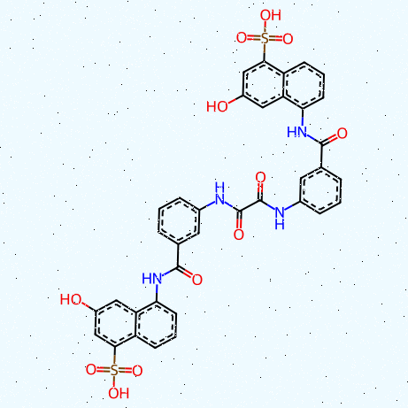 O=C(Nc1cccc(C(=O)Nc2cccc3c(S(=O)(=O)O)cc(O)cc23)c1)C(=O)Nc1cccc(C(=O)Nc2cccc3c(S(=O)(=O)O)cc(O)cc23)c1